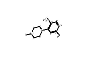 CN1CCN(c2cc(F)ncc2N)CC1